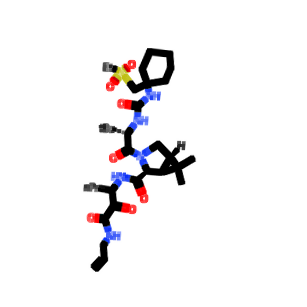 C=CCNC(=O)C(=O)C(CCC)NC(=O)[C@@H]1C2[C@H](CN1C(=O)[C@@H](NC(=O)NC1(CS(=O)(=O)CC)CCCCC1)C(C)(C)C)C2(C)C